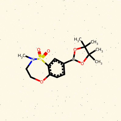 CN1CCOc2ccc(B3OC(C)(C)C(C)(C)O3)cc2S1(=O)=O